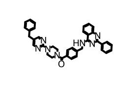 O=C(c1ccc(CNc2nc(-c3ccccc3)nc3ccccc23)cc1)N1CCN(c2ncc(Cc3ccccc3)cn2)CC1